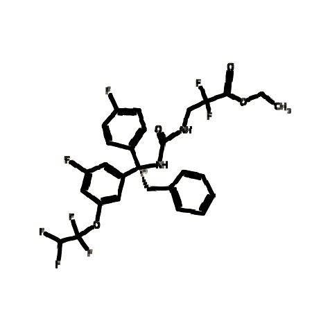 CCOC(=O)C(F)(F)CNC(=O)N[C@](Cc1ccccc1)(c1ccc(F)cc1)c1cc(F)cc(OC(F)(F)C(F)F)c1